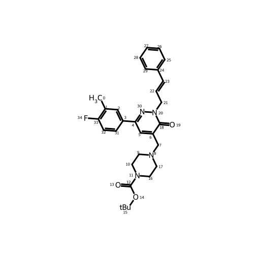 Cc1cc(-c2cc(CN3CCN(C(=O)OC(C)(C)C)CC3)c(=O)n(CC=Cc3ccccc3)n2)ccc1F